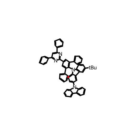 CC(C)(C)c1ccc2c(c1)c1cc(-n3c4ccccc4c4ccccc43)ccc1n2-c1c(-c2ccccc2)cc(-c2nc(-c3ccccc3)cc(-c3ccccc3)n2)cc1-c1ccccc1